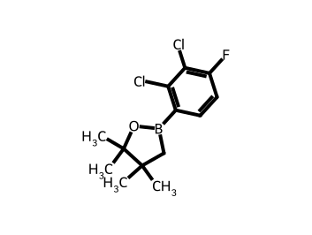 CC1(C)CB(c2ccc(F)c(Cl)c2Cl)OC1(C)C